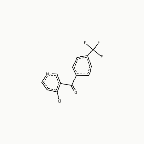 O=C(c1ccc(C(F)(F)F)cc1)c1cnccc1Cl